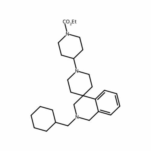 CCOC(=O)N1CCC(N2CCC3(CC2)CN(CC2CCCCC2)Cc2ccccc23)CC1